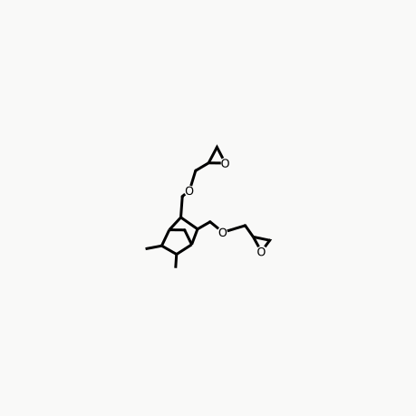 CC1C(C)C2CC1C(COCC1CO1)C2COCC1CO1